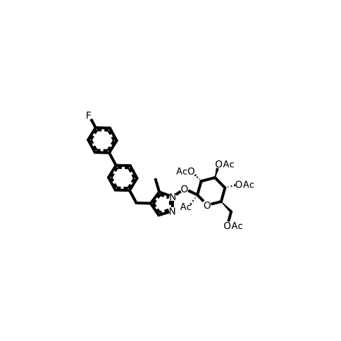 CC(=O)OC[C@H]1O[C@](On2ncc(Cc3ccc(-c4ccc(F)cc4)cc3)c2C)(C(C)=O)[C@H](OC(C)=O)[C@@H](OC(C)=O)[C@@H]1OC(C)=O